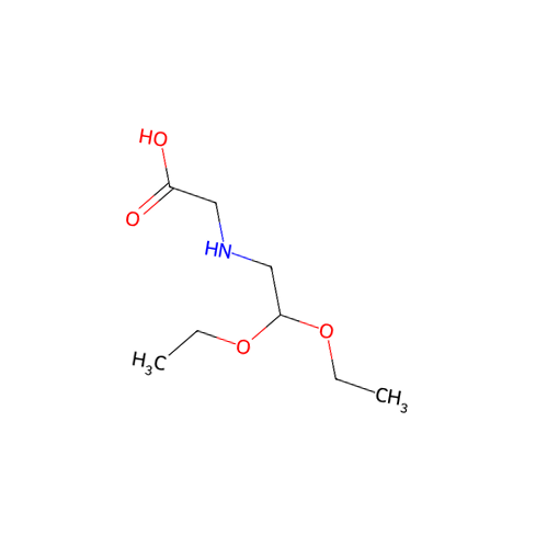 CCOC(CNCC(=O)O)OCC